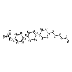 C/C=C/CCCC1CCC(C2CC=C(c3ccc(OC(F)F)cc3)CC2)CC1